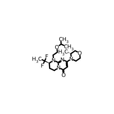 CC(C)OCCN1c2nc(N3CCOC[C@H]3C)cc(=O)n2CC[C@H]1C(C)(F)F